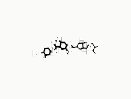 CCC(C)CN1C[C@H]2CC(COc3cc4ncnc(Nc5ccc(Br)c(Cl)c5F)c4cc3OC)C[C@H]2C1